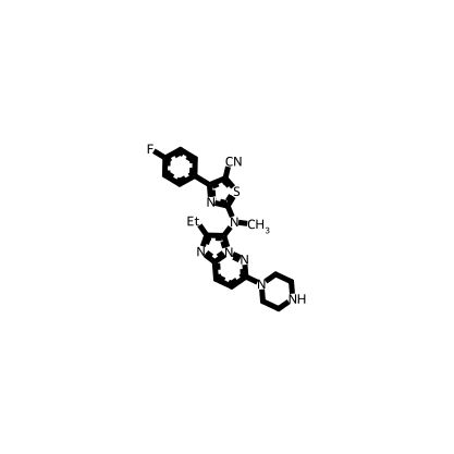 CCc1nc2ccc(N3CCNCC3)nn2c1N(C)c1nc(-c2ccc(F)cc2)c(C#N)s1